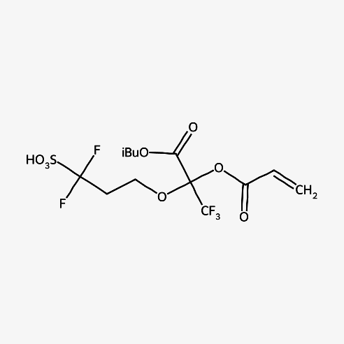 C=CC(=O)OC(OCCC(F)(F)S(=O)(=O)O)(C(=O)OCC(C)C)C(F)(F)F